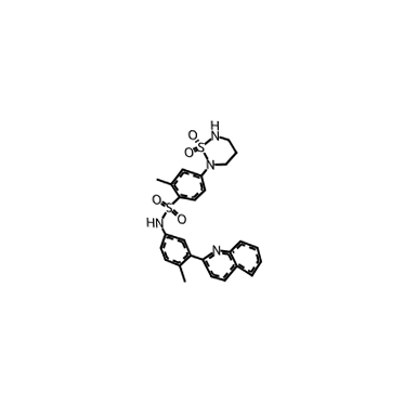 Cc1ccc(NS(=O)(=O)c2ccc(N3CCCNS3(=O)=O)cc2C)cc1-c1ccc2ccccc2n1